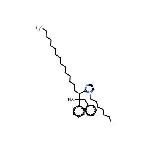 CCCCCCCCCCCCCCCC(c1nccn1CCCCCCC)C(C)(Cc1ccccc1)c1ccccc1